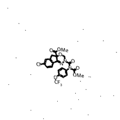 COC(=O)N(C(=O)N1COC2(C(=O)OC)Cc3cc(Cl)ccc3C2=N1)c1ccc(OC(F)(F)F)cc1